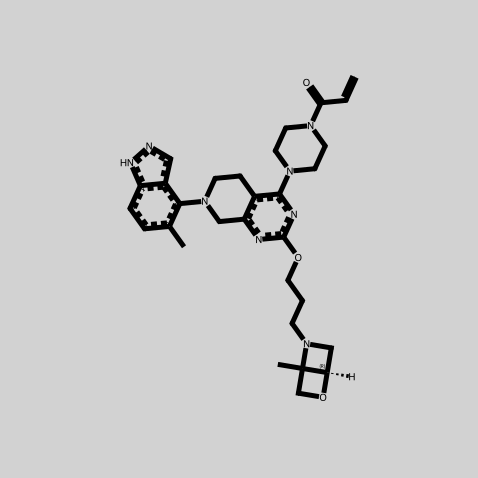 C=CC(=O)N1CCN(c2nc(OCCCN3C[C@H]4OCC43C)nc3c2CCN(c2c(C)ccc4[nH]ncc24)C3)CC1